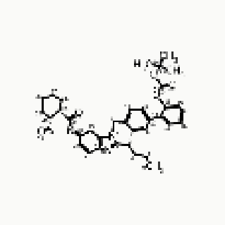 CCCCc1nc2c(n1Cc1ccc(-c3ccccc3OC(=O)OC(C)(C)C)cc1)CC(=NC(=O)[C@@H]1CCCC[C@H]1C=O)C=C2